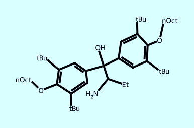 CCCCCCCCOc1c(C(C)(C)C)cc(C(O)(c2cc(C(C)(C)C)c(OCCCCCCCC)c(C(C)(C)C)c2)C(N)CC)cc1C(C)(C)C